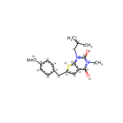 C=C(C)Cn1c(=O)n(C)c(=O)c2cc(Cc3ccc(OC)cc3)sc21